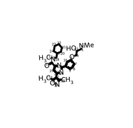 CNCC(O)COc1cccc(-c2nc(C(=O)N(C)CC3CCCCC3)cc(-c3c(C)noc3C)n2)c1